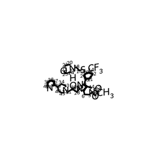 CS(=O)(=O)N1CCc2c(c(-c3ccc(C(F)(F)F)c(SCCN4CCOCC4)c3)nn2CC(O)CN2CCC(c3ccccn3)CC2)C1